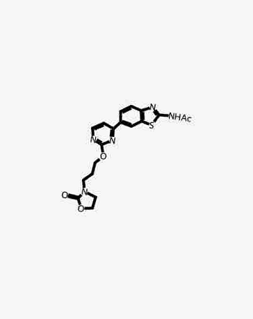 CC(=O)Nc1nc2ccc(-c3ccnc(OCCCN4CCOC4=O)n3)cc2s1